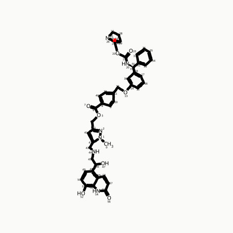 Cn1nc(COC(=O)c2ccc(COc3cccc([C@@H](NC(=O)OC4CN5CCC4CC5)c4ccccc4)c3)cc2)cc1CNCC(O)c1ccc(O)c2[nH]c(=O)ccc12